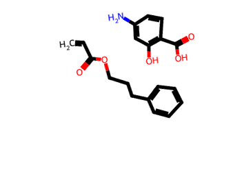 C=CC(=O)OCCCc1ccccc1.Nc1ccc(C(=O)O)c(O)c1